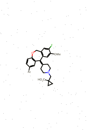 COc1cc2c(cc1F)COc1ccc(C(C)=O)cc1C2=C1CCN(CC2(C(=O)O)CC2)CC1